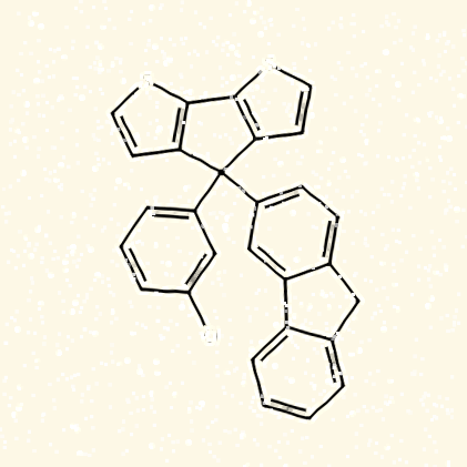 Clc1cccc(C2(c3ccc4c(c3)-c3ccccc3C4)c3ccsc3-c3sccc32)c1